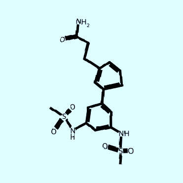 CS(=O)(=O)Nc1cc(NS(C)(=O)=O)cc(-c2cccc(CCC(N)=O)c2)c1